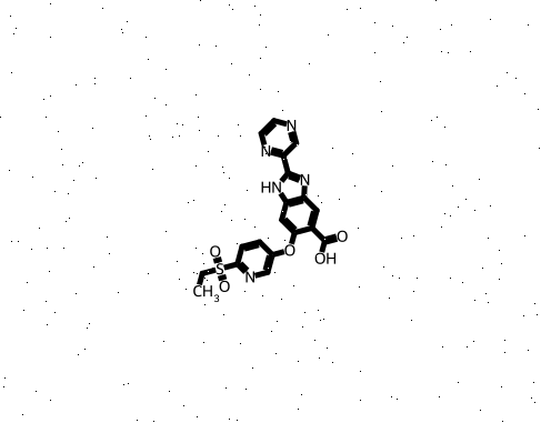 CCS(=O)(=O)c1ccc(Oc2cc3[nH]c(-c4cnccn4)nc3cc2C(=O)O)cn1